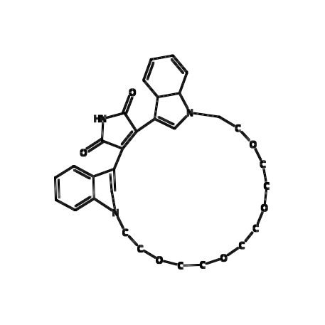 O=C1NC(=O)C2=C1C1=CN(CCOCCOCCOCCOCCn3cc2c2ccccc23)C2C=CC=CC12